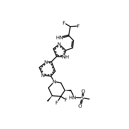 C[C@H]1CN(c2cc(-c3cnc(/C=C\C(=N)C(F)F)[nH]3)ncn2)C[C@@H](CNS(C)(=O)=O)C1(F)F